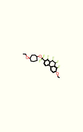 CCOc1ccc2c(c1F)C(F)C(F)c1c-2ccc(C(F)(F)OC2CCCC(OCC)CC2)c1F